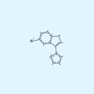 Brc1ccc2c(c1)C(c1ccco1)=CC2